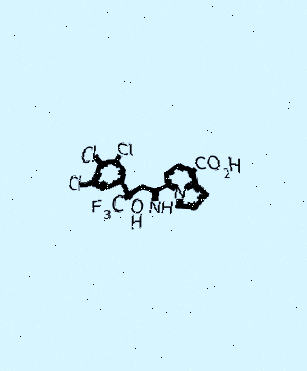 N=C(CC(O)(c1cc(Cl)c(Cl)c(Cl)c1)C(F)(F)F)c1ccc(C(=O)O)c2cccn12